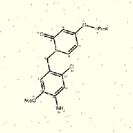 CCCCCOc1ccn(Cc2cc(OC)c(N)cc2Cl)c(=O)c1